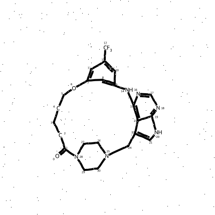 O=C1CCCCOc2cc(cc(C(F)(F)F)c2)Nc2ncnc3[nH]cc(c23)CN2CCN1CC2